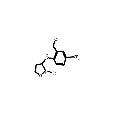 CC[C@H]1OCCC1Nc1ccc(C(F)(F)F)cc1CCl